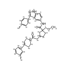 COCC1(C(=O)Nc2ccc3[nH]nc(-c4ccc(F)cc4)c3c2)CCN(CC(=O)N2CC=C(c3cccc(F)c3)CC2)C1